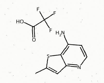 Cc1cc2nccc(N)c2s1.O=C(O)C(F)(F)F